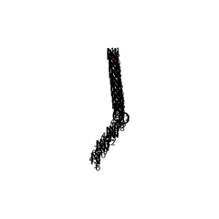 CCCN(C)c1ccc(N=Nc2ccc(N=Nc3ccc(C(=O)ON=NN=NN=NN=NN=NN=NN=NN=NN=NN=NC)cc3)cc2)cc1